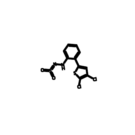 O=S(=O)=NNc1ccccc1-c1cc(Cl)c(Cl)s1